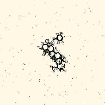 Cc1nc(N(C)C)c2c(n1)C(C)(C)[C@H]1CC[C@@]3(C)[C@@H](CC=C4[C@@H]5[C@@H](C)[C@@H](C)CC[C@]5(C(=O)OCc5ccccc5)CC[C@]43C)[C@]1(C)C2